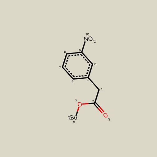 CC(C)(C)OC(=O)Cc1cccc([N+](=O)[O-])c1